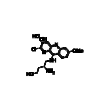 COc1ccc2c(NCC(N)CCO)c3nc(Cl)ccc3nc2c1.Cl.Cl